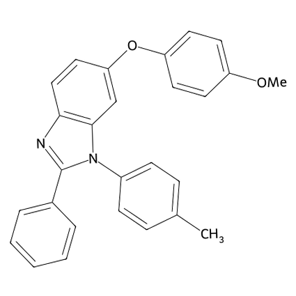 COc1ccc(Oc2ccc3nc(-c4ccccc4)n(-c4ccc(C)cc4)c3c2)cc1